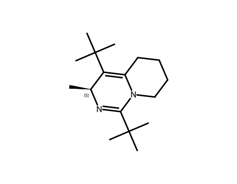 C[C@@H]1N=C(C(C)(C)C)N2CCCCC2=C1C(C)(C)C